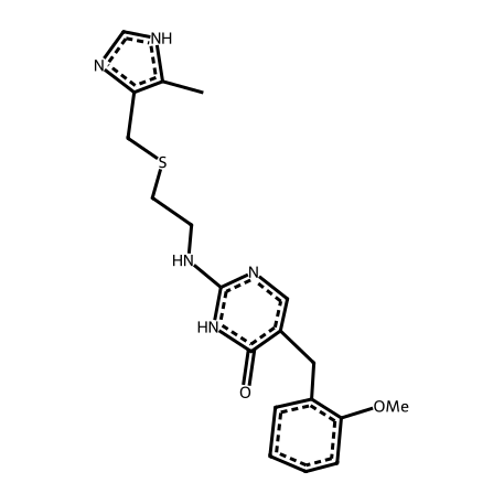 COc1ccccc1Cc1cnc(NCCSCc2nc[nH]c2C)[nH]c1=O